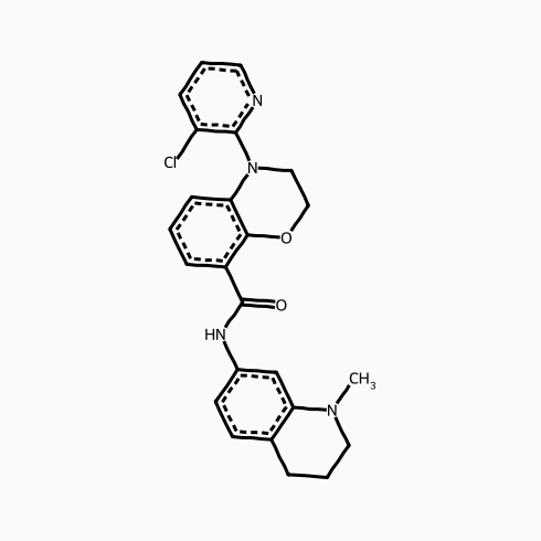 CN1CCCc2ccc(NC(=O)c3cccc4c3OCCN4c3ncccc3Cl)cc21